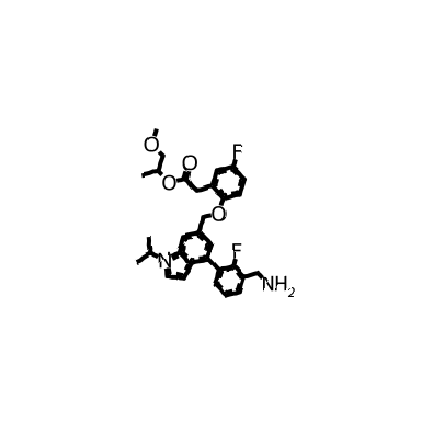 COCC(C)OC(=O)Cc1cc(F)ccc1OCc1cc(-c2cccc(CN)c2F)c2ccn(C(C)C)c2c1